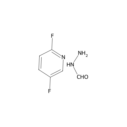 Fc1ccc(F)nc1.NNC=O